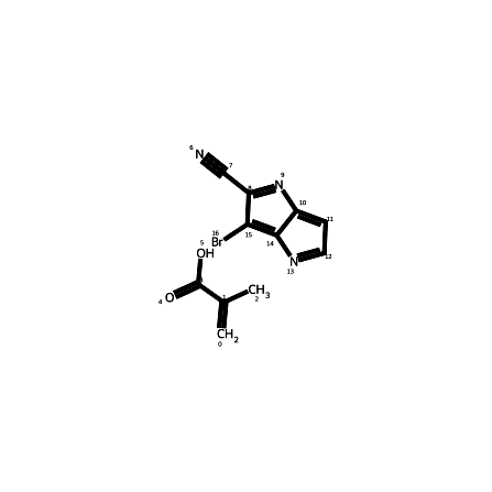 C=C(C)C(=O)O.N#CC1=NC2=CC=NC2=C1Br